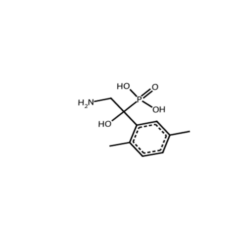 Cc1ccc(C)c(C(O)(CN)P(=O)(O)O)c1